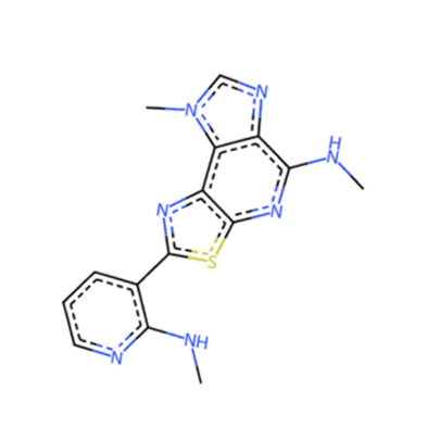 CNc1ncccc1-c1nc2c(nc(NC)c3ncn(C)c32)s1